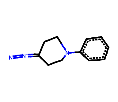 [N-]=[N+]=C1CCN(c2ccccc2)CC1